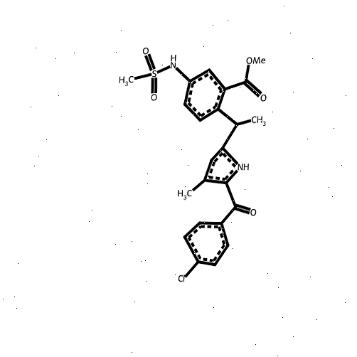 COC(=O)c1cc(NS(C)(=O)=O)ccc1C(C)c1cc(C)c(C(=O)c2ccc(Cl)cc2)[nH]1